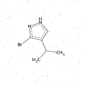 CC(C)c1[c][nH]nc1Br